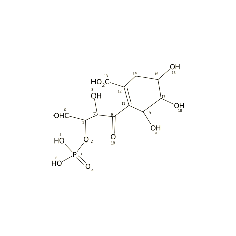 O=[C]C(OP(=O)(O)O)C(O)C(=O)C1=C(C(=O)O)CC(O)C(O)C1O